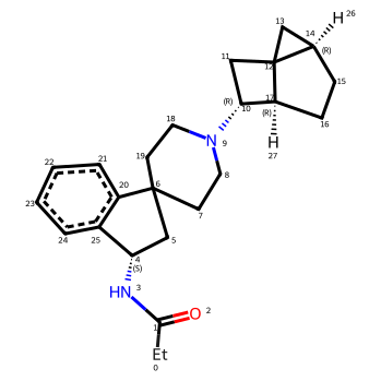 CCC(=O)N[C@H]1CC2(CCN([C@@H]3CC45C[C@H]4CC[C@@H]35)CC2)c2ccccc21